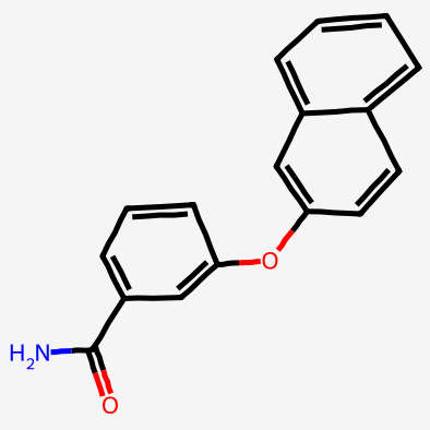 NC(=O)c1cccc(Oc2ccc3ccccc3c2)c1